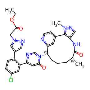 CCOC(=O)Cn1cc(-c2ccc(Cl)cc2-c2cc(=O)n([C@H]3CCC[C@@H](C)C(=O)Nc4cnn(C)c4-c4ccnc3c4)cn2)cn1